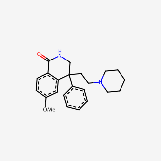 COc1ccc2c(c1)C(CCN1CCCCC1)(c1ccccc1)CNC2=O